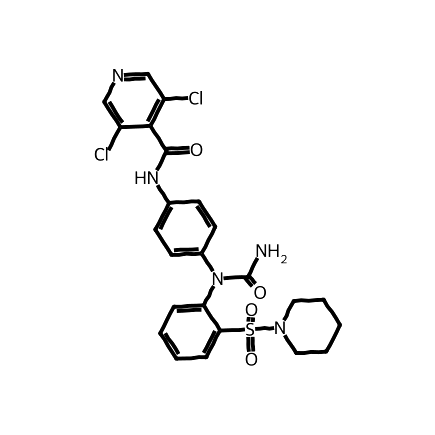 NC(=O)N(c1ccc(NC(=O)c2c(Cl)cncc2Cl)cc1)c1ccccc1S(=O)(=O)N1CCCCC1